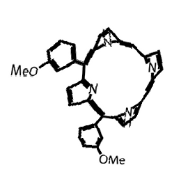 COc1cccc(-c2c3nc(c(-c4cccc(OC)c4)c4ccc(cc5nc(cc6ccc2[nH]6)C=C5)[nH]4)C=C3)c1